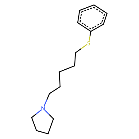 c1ccc(SCCCCCN2CCCC2)cc1